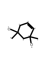 CC1(Cl)[CH]C=CC(C)(Cl)C1